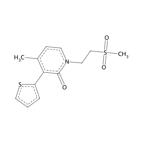 Cc1ccn(CCS(C)(=O)=O)c(=O)c1-c1cccs1